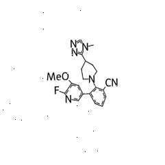 COc1cc(-c2cccc(C#N)c2N2CCC(c3nncn3C)CC2)cnc1F